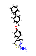 CC1(c2ccc(OCc3ccc(-c4ccccc4)cc3)cc2)CCSC(N)=N1